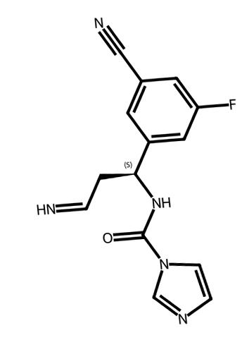 N#Cc1cc(F)cc([C@H](CC=N)NC(=O)n2ccnc2)c1